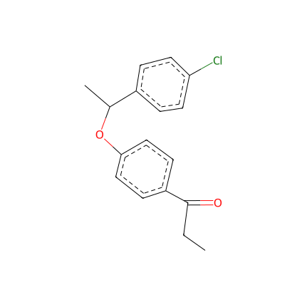 CCC(=O)c1ccc(OC(C)c2ccc(Cl)cc2)cc1